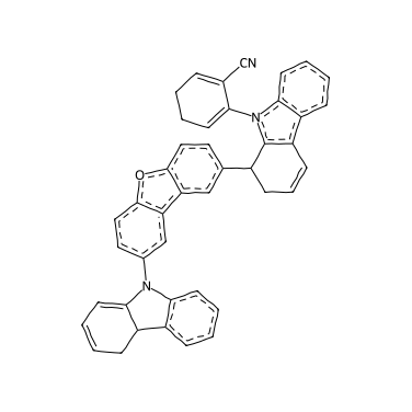 N#CC1=CCCC=C1n1c2c(c3ccccc31)C=CCC2c1ccc2oc3ccc(N4C5=CC=CCC5c5ccccc54)cc3c2c1